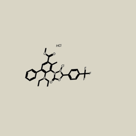 CCN(CC)c1c(-c2ccccc2)cc(C(=O)OC)c(C)c1N1C(=O)OC(c2ccc(C(F)(F)F)cc2)N1Cl.Cl